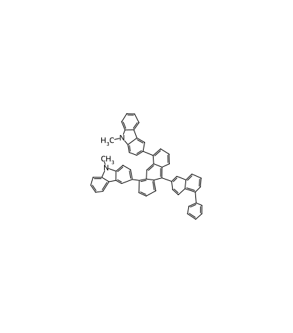 Cn1c2ccccc2c2cc(-c3cccc4c(-c5ccc6c(-c7ccccc7)cccc6c5)c5cccc(-c6ccc7c(c6)c6ccccc6n7C)c5cc34)ccc21